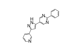 c1ccc(-c2ncc(-c3cc(-c4cccnc4)n[nH]3)cn2)cc1